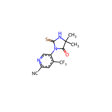 CC1(C)NC(=S)N(c2cnc(C#N)cc2C(F)(F)F)C1=O